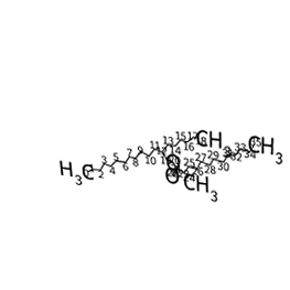 CCCCCCCCCCCCC(CCCCCC)COC(=O)C(C)CCCCCCCCCCC